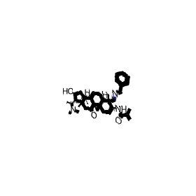 CC(C)C(=O)N[C@H]1CCC23C[C@]24C(=O)C[C@]2(C)[C@@H]([C@H](C)N(C)C)[C@H](O)C[C@@]2(C)[C@@H]4CC[C@H]3[C@]1(C)/C=N/Cc1ccccc1